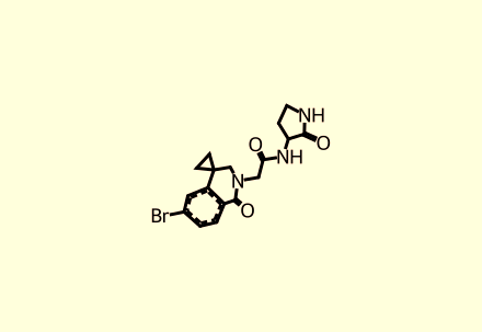 O=C(CN1CC2(CC2)c2cc(Br)ccc2C1=O)NC1CCNC1=O